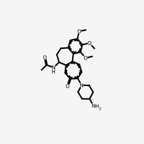 COc1cc2c(c(OC)c1OC)-c1ccc(N3CCC(N)CC3)c(=O)cc1C(NC(C)=O)CC2